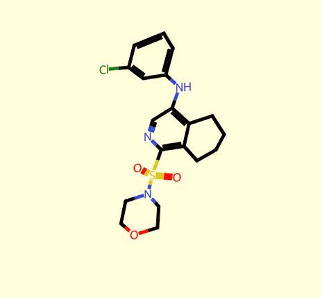 O=S(=O)(c1ncc(Nc2cccc(Cl)c2)c2c1CCCC2)N1CCOCC1